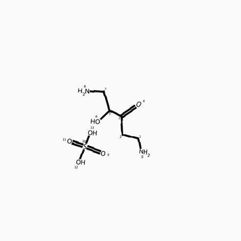 NCCC(=O)C(O)CN.O=S(=O)(O)O